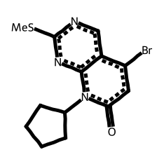 CSc1ncc2c(Br)cc(=O)n(C3CCCC3)c2n1